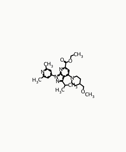 CCOC(=O)c1cc(N2CCC(COC)CC2)c2c(C(C)C)nn(-c3cc(C)nc(C)c3)c2n1